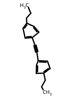 CCCc1ccc(C#Cc2ccc(CCC)cc2)cc1